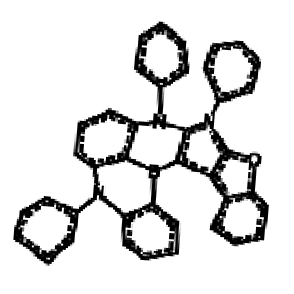 c1ccc(N2c3ccccc3B3c4c2cccc4N(c2ccccc2)c2c3c3c4ccccc4oc3n2-c2ccccc2)cc1